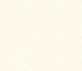 CCOC(C)Oc1ccc(Oc2c(N)c3c(c(N)c2Oc2ccc(C(C)(C)C)cc2)C(=O)c2ccccc2C3=O)cc1